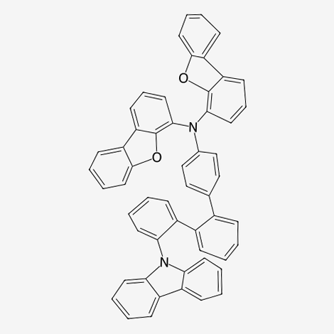 c1ccc(-c2ccccc2-n2c3ccccc3c3ccccc32)c(-c2ccc(N(c3cccc4c3oc3ccccc34)c3cccc4c3oc3ccccc34)cc2)c1